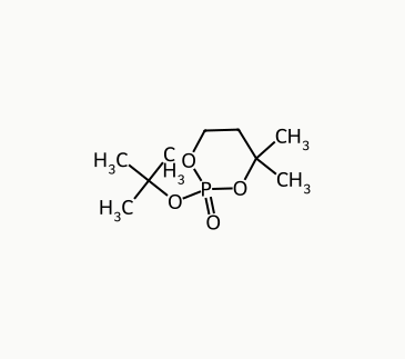 CC(C)(C)OP1(=O)OCCC(C)(C)O1